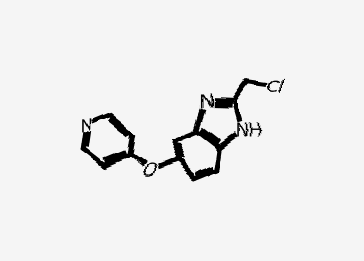 ClCc1nc2cc(Oc3ccncc3)ccc2[nH]1